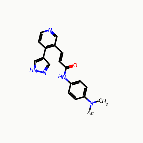 CC(=O)N(C)c1ccc(NC(=O)/C=C/c2cnccc2-c2cn[nH]c2)cc1